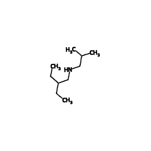 CCC(CC)CNCC(C)C